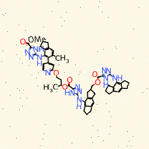 COC(=O)c1nnc(Nc2c3c(cc(C)c2-c2ccnc(OCCC(C)OC(=O)c4nnc(Nc5c6c(cc7c5CC(COC(=O)c5nnc(Nc8c9c(cc%10c8CCC%10)CCC9)[nH]5)C7)CCC6)[nH]4)c2)CCC3)[nH]1